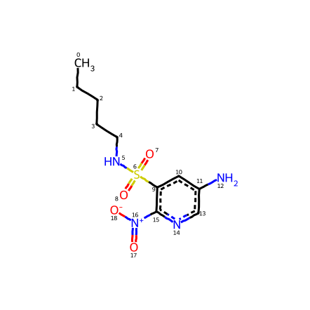 CCCCCNS(=O)(=O)c1cc(N)cnc1[N+](=O)[O-]